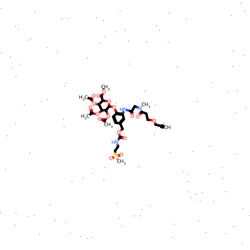 C#CCOCCC(=O)N(C)CC(=O)Nc1cc(COC(=O)NCCS(C)(=O)=O)ccc1OC1OC(C(=O)OC)C(OC(C)=O)C(OC(C)=O)C1OC(C)=O